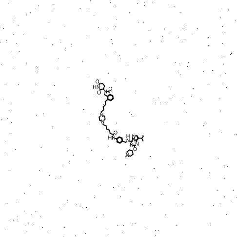 CC(C)c1cnn2c(NCc3ccc(NC(=O)CCCCCN4CCN(CCCCCc5cccc6c5CN(C5CCC(=O)NC5=O)C6=O)CC4)cc3)nc(OC3CCN(C)CC3)nc12